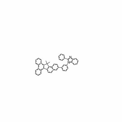 CC1(C)c2c(ccc3cc(-c4cccc(-n5c(-c6ccccc6)nc6ccccc65)c4)ccc23)-c2c1c1ccccc1c1ccccc21